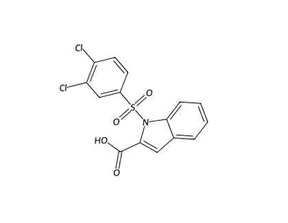 O=C(O)c1cc2ccccc2n1S(=O)(=O)c1ccc(Cl)c(Cl)c1